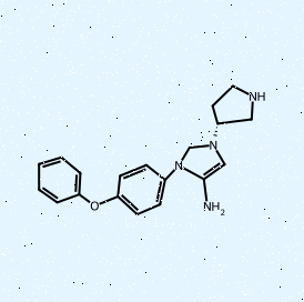 NC1=CN([C@@H]2CCNC2)CN1c1ccc(Oc2ccccc2)cc1